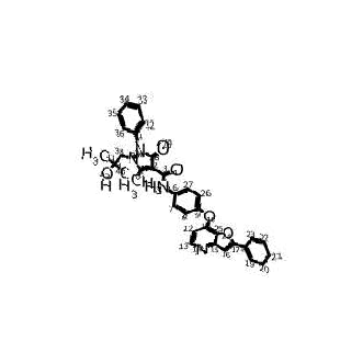 Cc1c(C(=O)Nc2ccc(Oc3ccnc4cc(C5=CCCC=C5)oc34)cc2)c(=O)n(-c2ccccc2)n1CC(C)(C)O